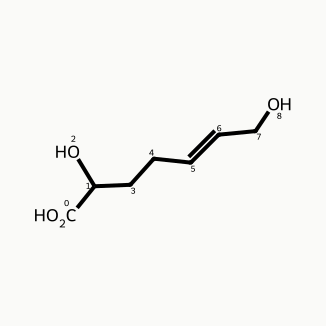 O=C(O)C(O)CCC=CCO